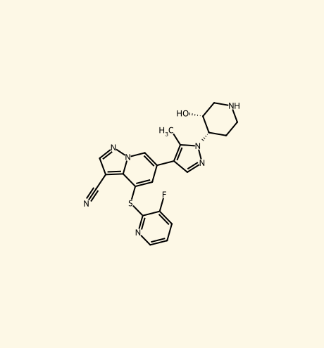 Cc1c(-c2cc(Sc3ncccc3F)c3c(C#N)cnn3c2)cnn1[C@H]1CCNC[C@H]1O